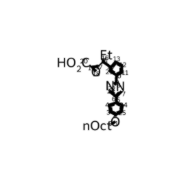 CCCCCCCCOc1ccc(-c2cnc(-c3cccc(C(CC)[C@H]4O[C@H]4C(=O)O)c3)nc2)cc1